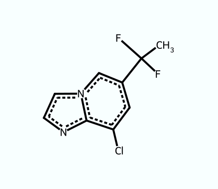 CC(F)(F)c1cc(Cl)c2nccn2c1